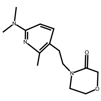 Cc1nc(N(C)C)ccc1CCN1CCOCC1=O